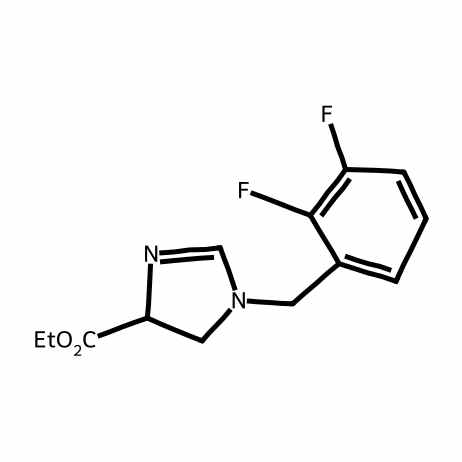 CCOC(=O)C1CN(Cc2cccc(F)c2F)C=N1